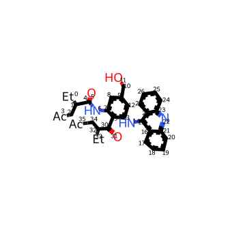 CCC(CC(C)=O)C(=O)Nc1cc(CO)cc(Nc2c3ccccc3nc3ccccc23)c1C(=O)C(CC)CC(C)=O